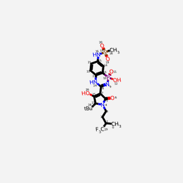 CC(CCN1C(=O)C(C2=NP(=O)(O)c3cc(NS(C)(=O)=O)ccc3N2)=C(O)C1C(C)(C)C)C(F)(F)F